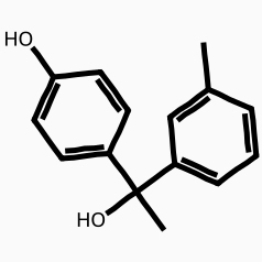 Cc1cccc(C(C)(O)c2ccc(O)cc2)c1